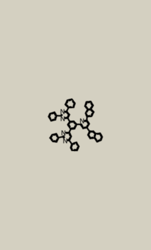 c1ccc(-c2cc(-c3cc(-c4cc(-c5ccc6ccccc6c5)cc(-c5ccc6ccccc6c5)n4)cc(-c4cc(-c5ccccc5)nc(-c5ccccc5)n4)c3)nc(-c3ccccc3)n2)cc1